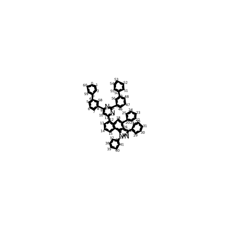 c1ccc(-c2cccc(-c3cc(-c4cccc5c4cc(-c4ccccc4)c4c(-c6ccccc6)nn(-c6ccccc6)c45)nc(-c4cccc(-c5ccccc5)c4)n3)c2)cc1